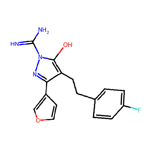 N=C(N)n1nc(-c2ccoc2)c(CCc2ccc(F)cc2)c1O